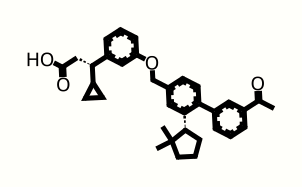 CC(=O)c1cccc(-c2ccc(COc3cccc([C@@H](CC(=O)O)C4CC4)c3)cc2[C@@H]2CCCC2(C)C)c1